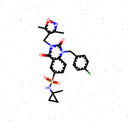 Cc1noc(C)c1Cn1c(=O)c2cc(S(=O)(=O)NC3(C)CC3)ccc2n(Cc2ccc(F)cc2)c1=O